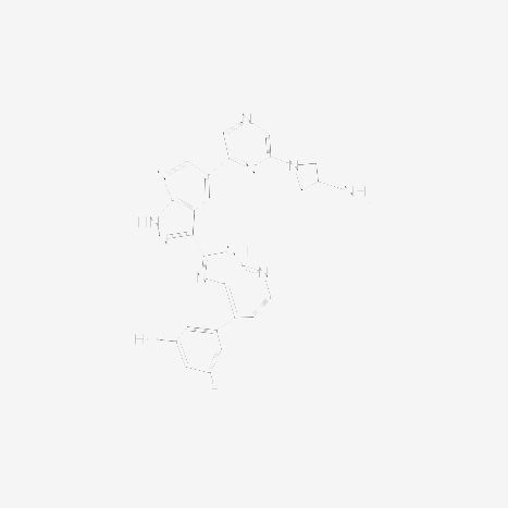 NC1CN(c2cncc(-c3cnc4[nH]nc(-c5nc6c(-c7cc(O)cc(F)c7)ccnc6[nH]5)c4c3)n2)C1